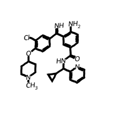 CN1CCC(Oc2ccc(C(=N)c3cc(C(=O)NC(c4ccccn4)C4CC4)ccc3N)cc2Cl)CC1